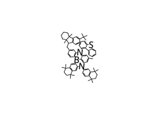 Cc1cc2c3c(c1)N(c1cccc4sc5ccccc5c14)c1cc(CC4c5ccc(C(C)(C)C)cc5C5(C)CCCCC45C)ccc1B3c1cc3c(cc1N2c1ccc2c(c1)C(C)(C)CCC2(C)C)C(C)(C)CCC3(C)C